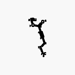 CC(=O)SCC#CC(=O)OC(C)(C)C